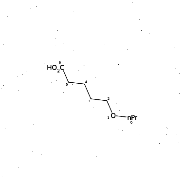 CCCOCCCCC(=O)O